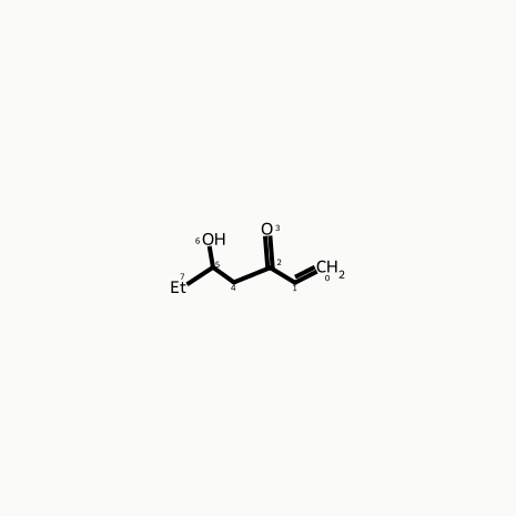 C=CC(=O)CC(O)CC